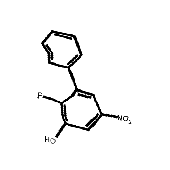 O=[N+]([O-])c1cc(O)c(F)c(-c2ccccc2)c1